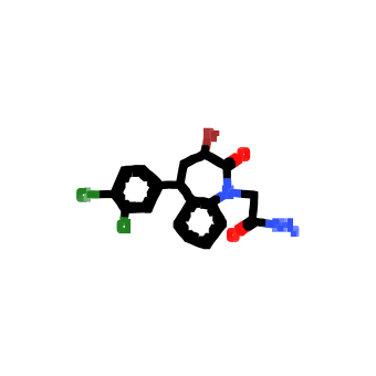 NC(=O)CN1C(=O)C(Br)CC(c2ccc(Cl)c(Cl)c2)c2ccccc21